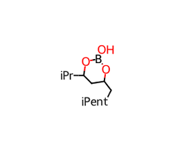 CCCC(C)CC1CC(C(C)C)OB(O)O1